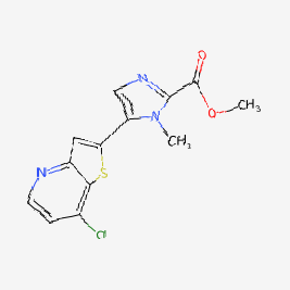 COC(=O)c1ncc(-c2cc3nccc(Cl)c3s2)n1C